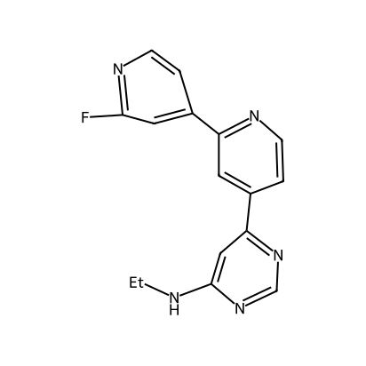 CCNc1cc(-c2ccnc(-c3ccnc(F)c3)c2)ncn1